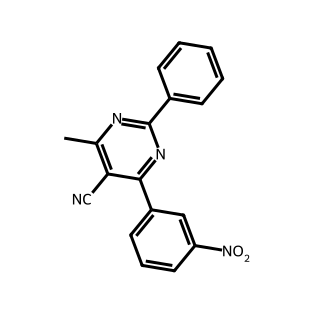 Cc1nc(-c2ccccc2)nc(-c2cccc([N+](=O)[O-])c2)c1C#N